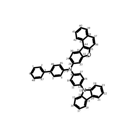 c1ccc(-c2ccc(N(c3ccc(-n4c5ccccc5c5ccccc54)cc3)c3ccc4c(c3)oc3ccc5ccccc5c34)cc2)cc1